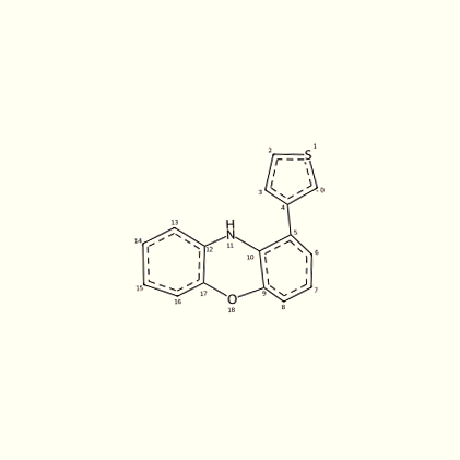 [c]1sccc1-c1cccc2c1Nc1ccccc1O2